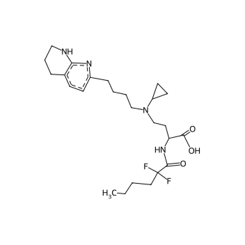 CCCCC(F)(F)C(=O)NC(CCN(CCCCc1ccc2c(n1)NCCC2)C1CC1)C(=O)O